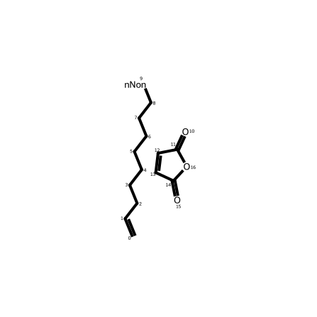 C=CCCCCCCCCCCCCCCCC.O=C1C=CC(=O)O1